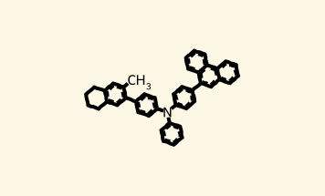 Cc1cc2c(cc1-c1ccc(N(c3ccccc3)c3ccc(-c4cc5ccccc5c5ccccc45)cc3)cc1)CCCC2